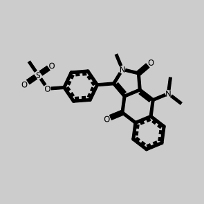 CN(C)C1=C2C(=O)N(C)C(c3ccc(OS(C)(=O)=O)cc3)=C2C(=O)c2ccccc21